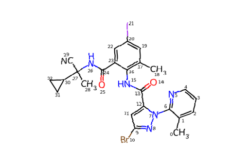 Cc1cccnc1-n1nc(Br)cc1C(=O)Nc1c(C)cc(I)cc1C(=O)NC(C)(C#N)C1CC1